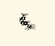 CC1(C)OB(c2cc3ncc4c(c3cc2Cl)N2CCN(C(=O)O)C[C@@H]2CO4)OC1(C)C